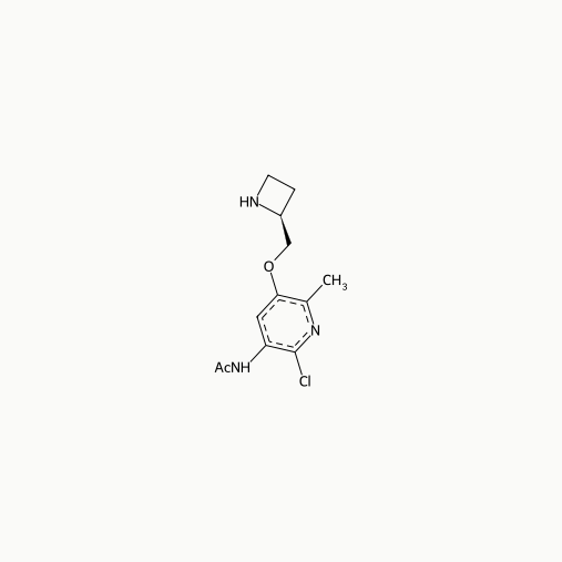 CC(=O)Nc1cc(OC[C@@H]2CCN2)c(C)nc1Cl